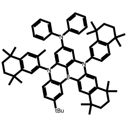 Cc1cc2c(cc1N1c3ccc(C(C)(C)C)cc3B3c4cc5c(cc4N(c4ccc6c(c4)C(C)(C)CCC6(C)C)c4cc(N(c6ccccc6)c6ccccc6)cc1c43)C(C)(C)CCC5(C)C)C(C)(C)CCC2(C)C